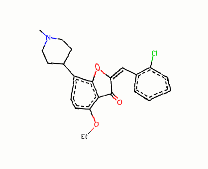 CCOc1ccc(C2CCN(C)CC2)c2c1C(=O)/C(=C\c1ccccc1Cl)O2